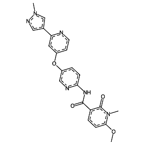 COc1ccc(C(=O)Nc2ccc(Oc3ccnc(-c4cnn(C)c4)c3)cn2)c(=O)n1C